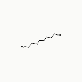 NCCSCCSCCO